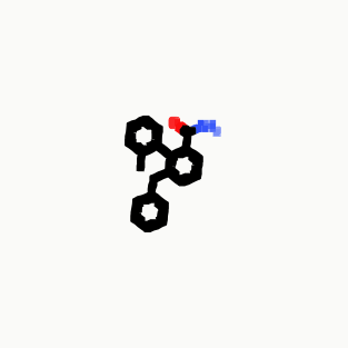 Cc1ccccc1-c1c(Cc2ccccc2)cccc1C(N)=O